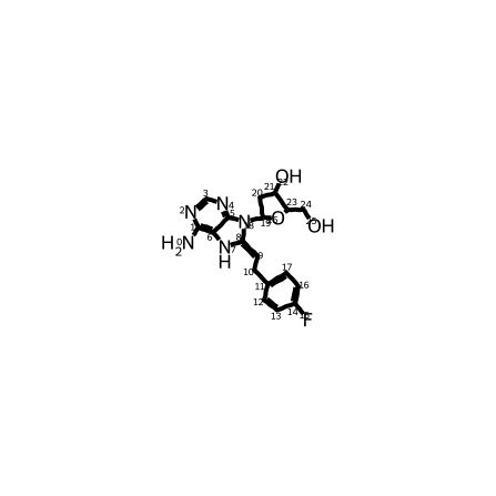 Nc1ncnc2c1N/C(=C\Cc1ccc(F)cc1)N2C1CC(O)C(CO)O1